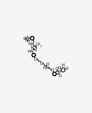 CN(c1cccc(CNc2nc(Nc3ccc(OCCCOCCC(=O)NCCOc4cccc5c4C(=O)N(C4CCC(=O)NC4=O)C5=O)cc3)ncc2C(F)(F)F)c1)S(C)(=O)=O